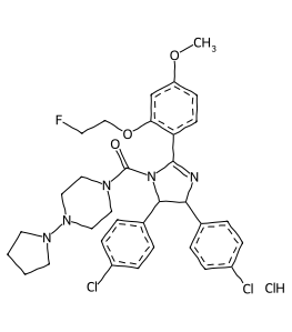 COc1ccc(C2=NC(c3ccc(Cl)cc3)C(c3ccc(Cl)cc3)N2C(=O)N2CCN(N3CCCC3)CC2)c(OCCF)c1.Cl